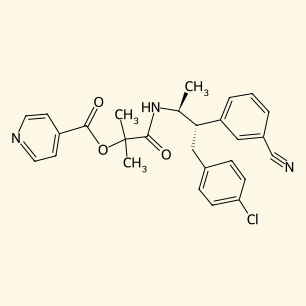 C[C@H](NC(=O)C(C)(C)OC(=O)c1ccncc1)[C@@H](Cc1ccc(Cl)cc1)c1cccc(C#N)c1